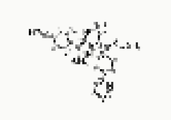 C#Cc1cc(Cl)c(-c2c(C)nn3c(N(CCN)C4CCN(c5ncccn5)CC4)cc(C)nc23)c(Cl)c1